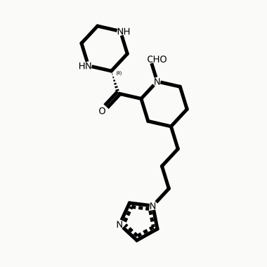 O=CN1CCC(CCCn2ccnc2)CC1C(=O)[C@H]1CNCCN1